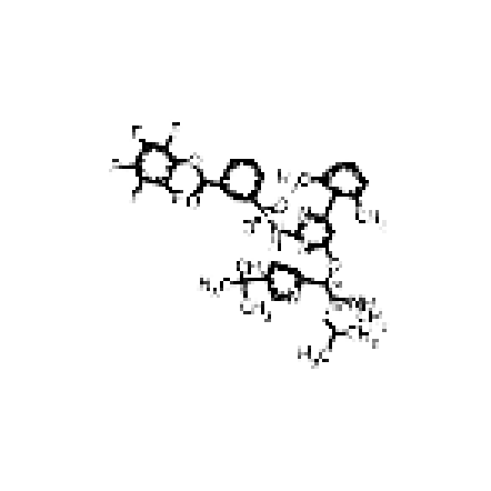 CN[C@H](CC(C)C)[C@H](Oc1cc(-c2c(C)cccc2C)nc(NS(=O)(=O)c2cccc(C(=O)Oc3c(F)c(F)c(F)c(F)c3F)c2)n1)c1ccc(C(C)(C)C)cn1